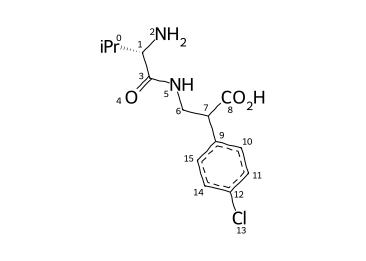 CC(C)[C@H](N)C(=O)NCC(C(=O)O)c1ccc(Cl)cc1